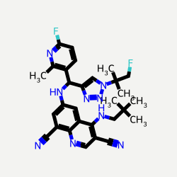 Cc1nc(F)ccc1C(Nc1cc(C#N)c2ncc(C#N)c(NCC(C)(C)C)c2c1)c1cn(C(C)(C)CF)nn1